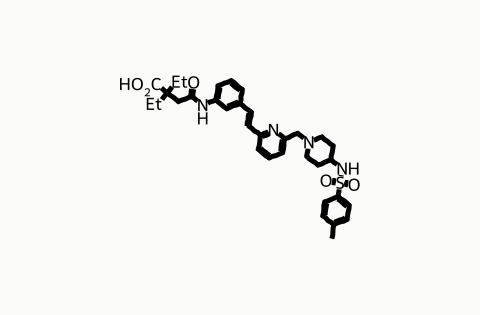 CCC(CC)(CC(=O)Nc1cccc(/C=C/c2cccc(CN3CCC(NS(=O)(=O)c4ccc(C)cc4)CC3)n2)c1)C(=O)O